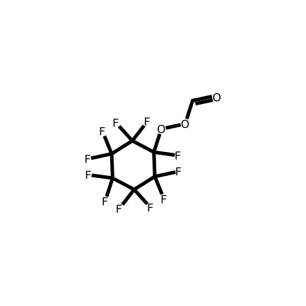 O=COOC1(F)C(F)(F)C(F)(F)C(F)(F)C(F)(F)C1(F)F